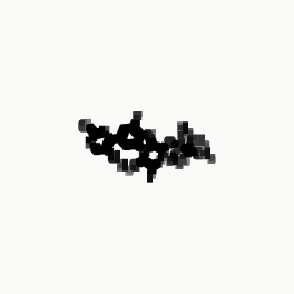 CC(C(F)F)n1c(CO[Si](C)(C)C(C)(C)C)nc2c(F)cc(-c3nc(Cl)ncc3Cl)cc21